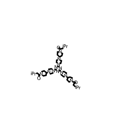 CC(C)CC(=O)N1CCC(N2CCN(c3nc(N4CCN(C5CCN(C(=O)CC(C)C)CC5)CC4)nc(N4CCN(C5CCN(C(=O)CC(C)C)CC5)CC4)n3)CC2)CC1